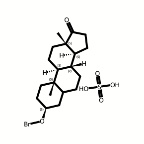 C[C@]12CC[C@H](OBr)CC1CC[C@@H]1[C@@H]2CC[C@]2(C)C(=O)CC[C@@H]12.O=S(=O)(O)O